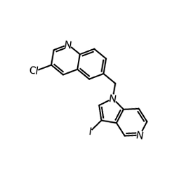 Clc1cnc2ccc(Cn3cc(I)c4cnccc43)cc2c1